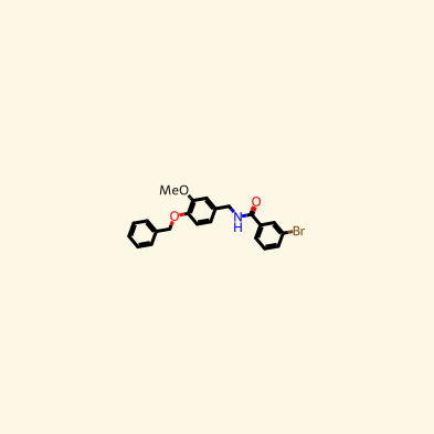 COc1cc(CNC(=O)c2cccc(Br)c2)ccc1OCc1ccccc1